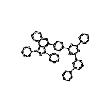 c1ccc(-c2cccc(-c3nc(-c4ccccc4)nc(-c4ccc(-c5cc6ccccc6c6c5c(-c5ccccc5)nn6-c5ccccc5)cc4)n3)c2)cc1